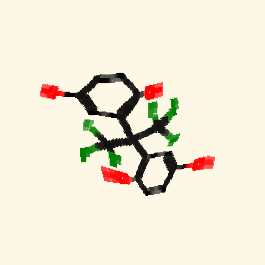 Oc1ccc(O)c(C(c2cc(O)ccc2O)(C(F)(F)F)C(F)(F)F)c1